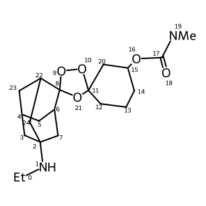 CCNC12CC3CC(C1)C1(OOC4(CCCC(OC(=O)NC)C4)O1)C(C3)C2